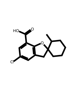 CC1CCCCC12Cc1cc(Cl)cc(C(=O)O)c1O2